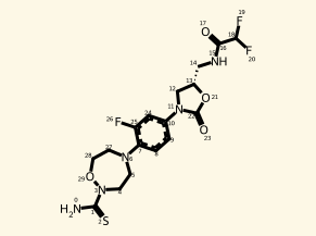 NC(=S)N1CCN(c2ccc(N3C[C@H](CNC(=O)C(F)F)OC3=O)cc2F)CCO1